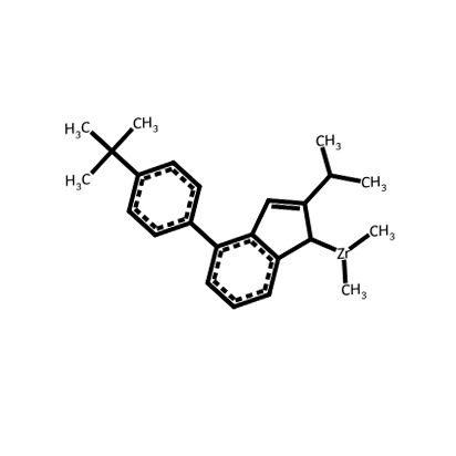 CC(C)C1=Cc2c(-c3ccc(C(C)(C)C)cc3)cccc2[CH]1[Zr]([CH3])[CH3]